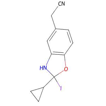 N#CCc1ccc2c(c1)NC(I)(C1CC1)O2